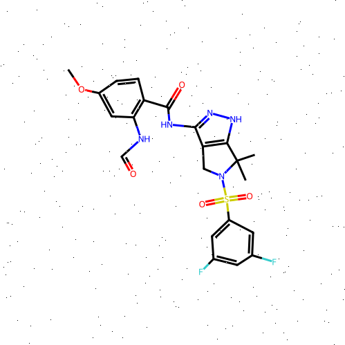 COc1ccc(C(=O)Nc2n[nH]c3c2CN(S(=O)(=O)c2cc(F)cc(F)c2)C3(C)C)c(NC=O)c1